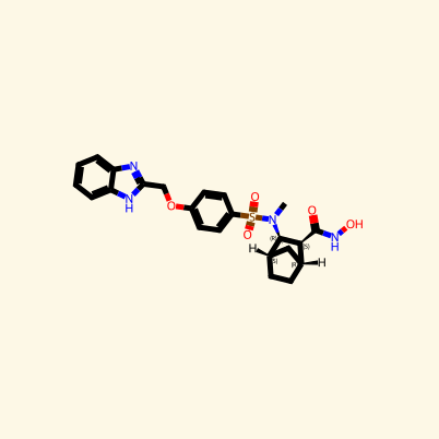 CN([C@@H]1[C@H]2CC[C@H](C2)[C@@H]1C(=O)NO)S(=O)(=O)c1ccc(OCc2nc3ccccc3[nH]2)cc1